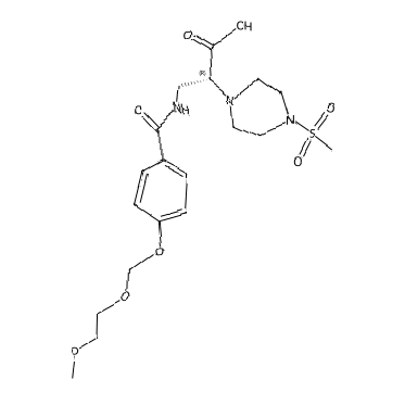 COCCOCOc1ccc(C(=O)NC[C@H](C(=O)O)N2CCN(S(C)(=O)=O)CC2)cc1